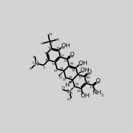 CN(C)Cc1cc(C(C)(C)C)c(O)c2c1C[C@@]1(C)C[C@H]3[C@H](N(C)C)C(O)=C(C(N)=O)C(=O)[C@@]3(O)C(O)=C1C2=O